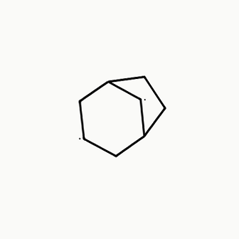 [CH]1CC2[CH]C(C1)CC2